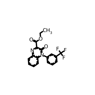 CCOC(=O)c1nc2ccccc2n(-c2cccc(C(F)(F)F)c2)c1=O